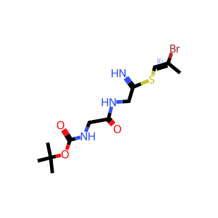 C/C(Br)=C\SC(=N)CNC(=O)CNC(=O)OC(C)(C)C